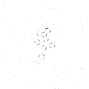 CC1C(c2ccncc2)=CC(c2ccccc2-c2ccc3c4c(c5c#cccc5c3c2)CCC=C4)=CC1C1=CC=NCC=C1